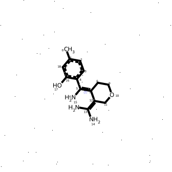 Cc1ccc(/C(N)=C2\CCOCC2=C(N)N)c(O)c1